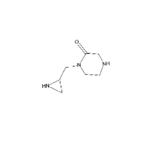 O=C1CNCCN1CC1CN1